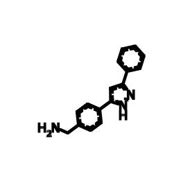 NCc1ccc(-c2cc(-c3ccccc3)n[nH]2)cc1